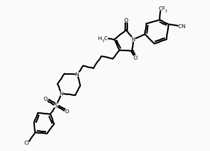 CC1=C(CCCCN2CCN(S(=O)(=O)c3ccc(Cl)cc3)CC2)C(=O)N(c2ccc(C#N)c(C(F)(F)F)c2)C1=O